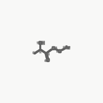 CC(=O)OOC(=O)C(C)O